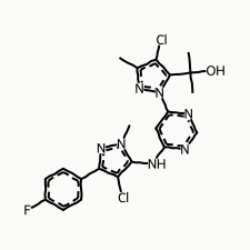 Cc1nn(-c2cc(Nc3c(Cl)c(-c4ccc(F)cc4)nn3C)ncn2)c(C(C)(C)O)c1Cl